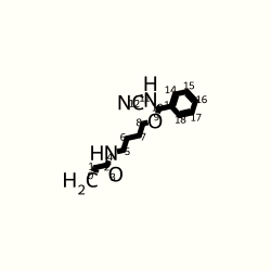 C=CC(=O)NCCCCOC(NC#N)c1ccccc1